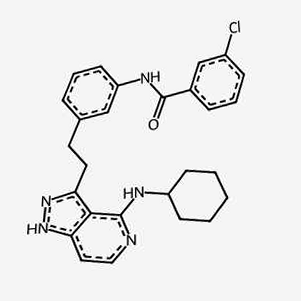 O=C(Nc1cccc(CCc2n[nH]c3ccnc(NC4CCCCC4)c23)c1)c1cccc(Cl)c1